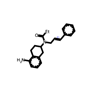 CCC(=O)N(C/C=C/c1ccccc1)C1CCc2c(N)cccc2C1